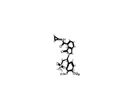 CCOc1cc([C@@H](CS(C)(=O)=O)N2Cc3cccc(C(=O)NC4CC4)c3C2=O)ccc1OC